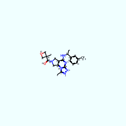 Cc1nnc2nc(NC(C)c3cccc(C(F)(F)F)c3)c3c(n12)CN(C(=O)C1(C)COC1)C3